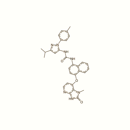 Cc1ccc(-n2nc(C(C)C)cc2NC(=O)Nc2ccc(Oc3ccnc4[nH]c(=O)n(C)c34)c3ccccc23)cc1